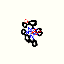 c1ccc(-c2nc(-c3cccc4oc5ccccc5c34)nc(-n3c4ccccc4c4ccc5c6ccccc6n(-c6nc7ccccc7s6)c5c43)n2)cc1